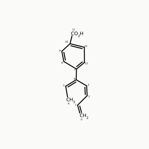 C=C/C=C\C(=C/C)c1ccc(C(=O)O)cc1